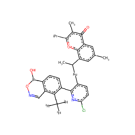 [2H]C([2H])([2H])c1c(-c2nc(Cl)cc[c]2[Au][CH](C)c2cc(C)cc3c(=O)c(C)c(C(C)C)oc23)ccc2c1C=NOB2O